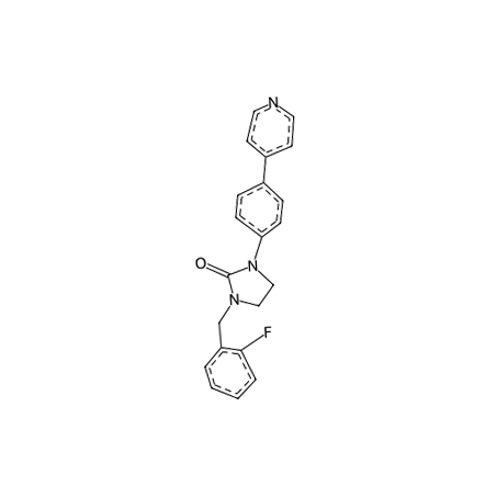 O=C1N(Cc2ccccc2F)CCN1c1ccc(-c2ccncc2)cc1